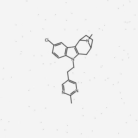 Cc1ncc(CCn2c3c(c4cc(Cl)ccc42)C2CCC(C3)N2C)cn1